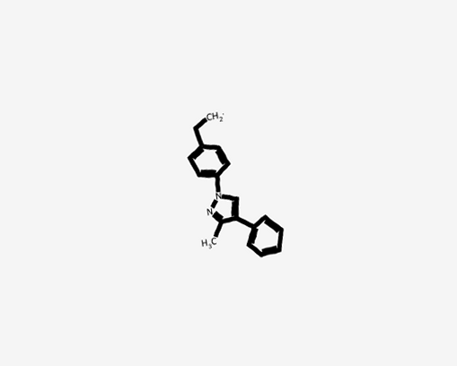 [CH2]Cc1ccc(-n2cc(-c3ccccc3)c(C)n2)cc1